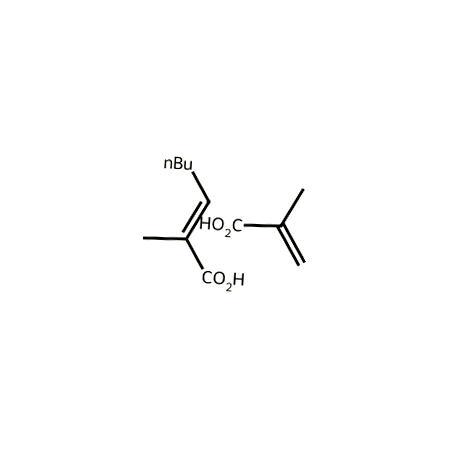 C=C(C)C(=O)O.CCCCC=C(C)C(=O)O